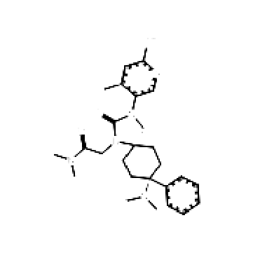 Cc1cc(C(F)(F)F)ncc1N1C[C@]2(CC[C@](c3ccccc3)(N(C)C)CC2)N(CC(=O)N(C)C)C1=O